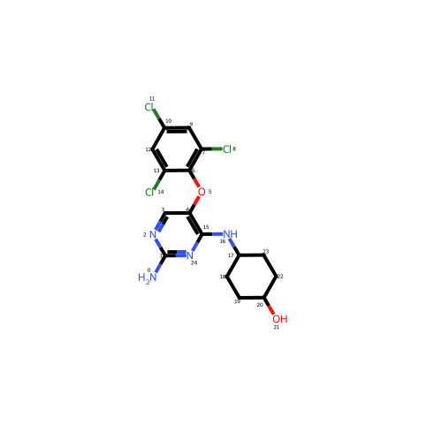 Nc1ncc(Oc2c(Cl)cc(Cl)cc2Cl)c(NC2CCC(O)CC2)n1